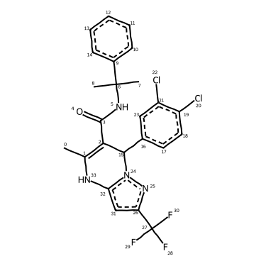 CC1=C(C(=O)NC(C)(C)c2ccccc2)C(c2ccc(Cl)c(Cl)c2)n2nc(C(F)(F)F)cc2N1